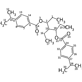 CCC(OC(=O)c1ccc(C(C)C)cc1)C(CC)C(CC)OC(=O)c1ccc(C(C)C)cc1